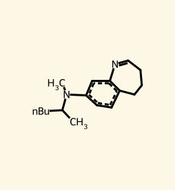 CCCCC(C)N(C)c1ccc2c(c1)N=CCCC2